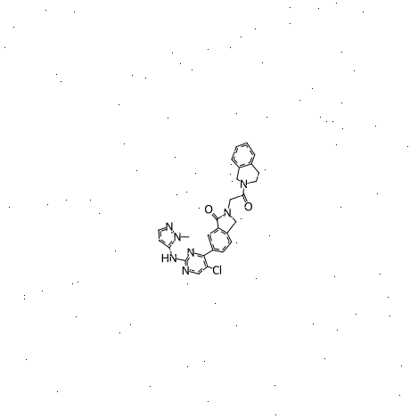 Cn1nccc1Nc1ncc(Cl)c(-c2ccc3c(c2)C(=O)N(CC(=O)N2CCc4ccccc4C2)C3)n1